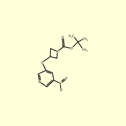 CC(C)(C)OC(=O)N1CC(Oc2cncc([N+](=O)[O-])c2)C1